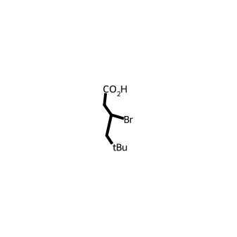 CC(C)(C)CC(Br)CC(=O)O